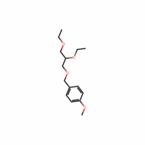 CCOCC(COCc1ccc(OC)cc1)OCC